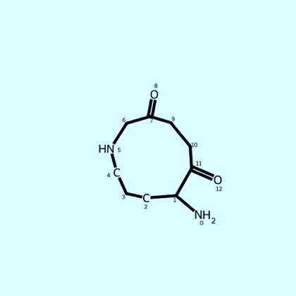 NC1CCCNCC(=O)CCC1=O